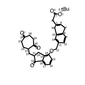 CC(C)(C)OC(=O)CC1=CCc2ccc(COc3cccc4c3CC(CC3CCC(=O)CCC3=O)C4=O)cc2C1